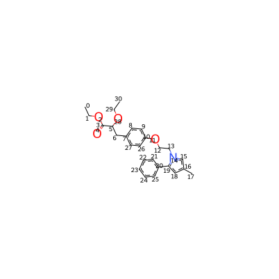 CCOC(=O)C(Cc1ccc(OCCn2cc(C)cc2-c2ccccc2)cc1)OCC